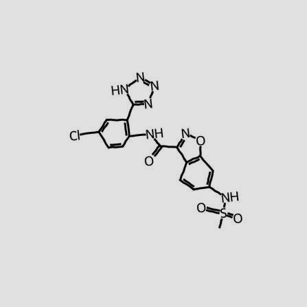 CS(=O)(=O)Nc1ccc2c(C(=O)Nc3ccc(Cl)cc3-c3nnn[nH]3)noc2c1